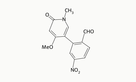 COc1cc(=O)n(C)cc1-c1cc([N+](=O)[O-])ccc1C=O